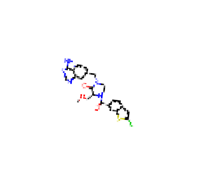 COCC1C(=O)N(Cc2ccc3c(N)ncnc3c2)CCN1C(=O)c1ccc2cc(Cl)sc2c1